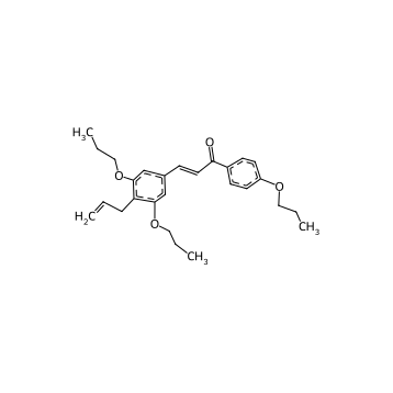 C=CCc1c(OCCC)cc(C=CC(=O)c2ccc(OCCC)cc2)cc1OCCC